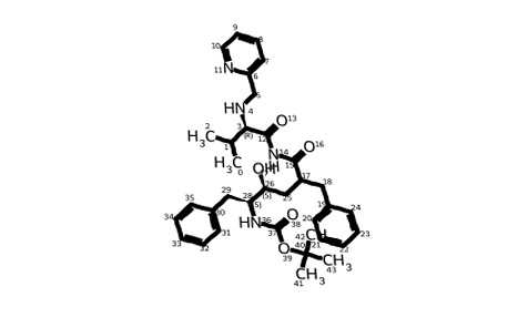 CC(C)[C@@H](NCc1ccccn1)C(=O)NC(=O)C(Cc1ccccc1)C[C@H](O)[C@H](Cc1ccccc1)NC(=O)OC(C)(C)C